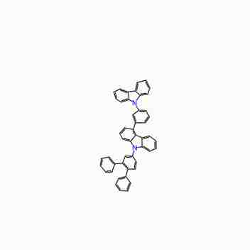 c1ccc(-c2ccc(-n3c4ccccc4c4c(-c5cccc(-n6c7ccccc7c7ccccc76)c5)cccc43)cc2-c2ccccc2)cc1